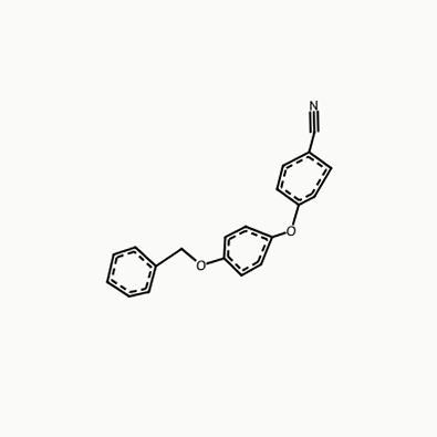 N#Cc1ccc(Oc2ccc(OCc3ccccc3)cc2)cc1